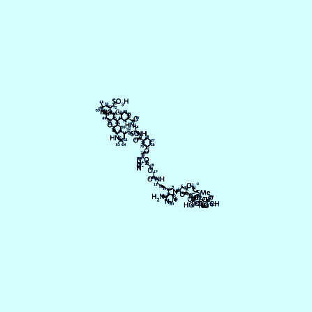 CSS[C@@H](C)O[C@@H]1C[C@H](n2cc(C#CCNC(=O)COCCOC(COc3cccc(C(=O)NCCNC(=O)c4ccc(C(=O)O)c(C5=c6cc7c(cc6Oc6cc8c(cc65)C(CS(=O)(=O)O)=CC(C)(C)N8)=NC(C)(C)C=C7CS(=O)(=O)O)c4)c3)N=[N+]=[N-])c3c(N)ncnc32)O[C@@H]1COP(=O)(O)OP(=O)(O)OP(=O)(O)O